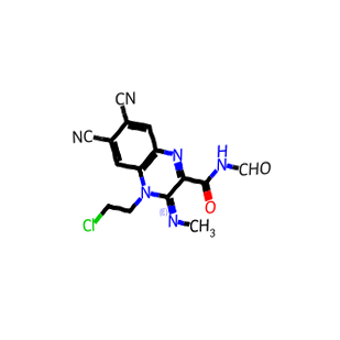 C/N=c1\c(C(=O)NC=O)nc2cc(C#N)c(C#N)cc2n1CCCl